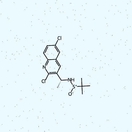 C[C@@H](N[S+]([O-])C(C)(C)C)c1cc2cc(Cl)ccc2nc1Cl